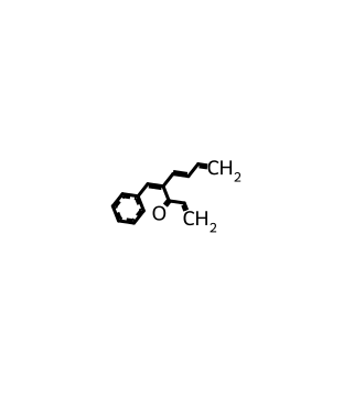 C=CC=CC(=Cc1ccccc1)C(=O)C=C